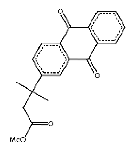 COC(=O)CC(C)(C)c1ccc2c(c1)C(=O)c1ccccc1C2=O